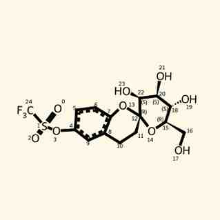 O=S(=O)(Oc1ccc2c(c1)CC[C@]1(O2)O[C@H](CO)[C@@H](O)[C@H](O)[C@@H]1O)C(F)(F)F